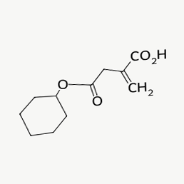 C=C(CC(=O)OC1CCCCC1)C(=O)O